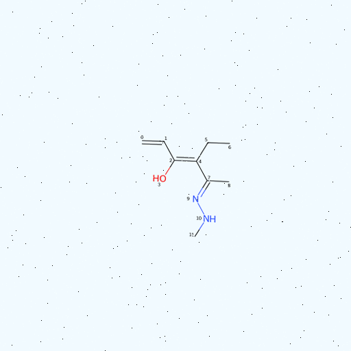 C=C/C(O)=C(CC)/C(C)=N/NC